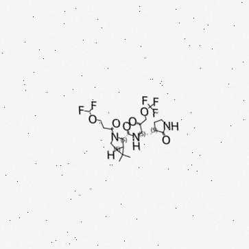 CC1(C)C2[C@@H](C(=O)N[C@@H](C[C@@H]3CCNC3=O)C(=O)COC(F)(F)F)N(C(=O)CCOC(F)F)C[C@@H]21